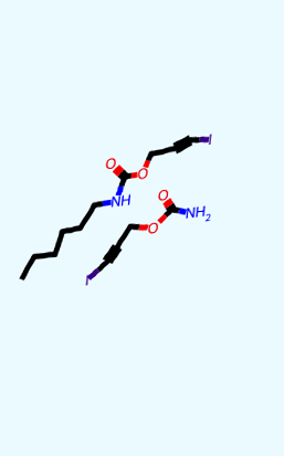 CCCCCCNC(=O)OCC#CI.NC(=O)OCC#CI